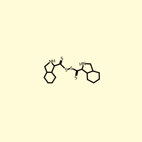 S=C(SSC(=S)C1NCC2CCCCC21)C1NCC2CCCCC21